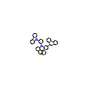 c1ccc(-c2ccc(-c3cc4ccccc4c4ccccc34)cc2N(c2cccc(-n3c4ccccc4c4ccccc43)c2)c2cccc3sc4ccccc4c23)cc1